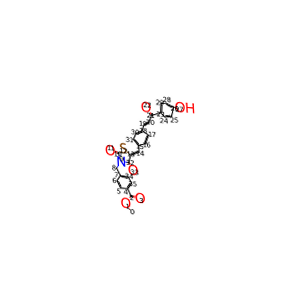 COC(=O)c1ccc(CN2C(=O)S/C(=C\c3ccc(/C=C/C(=O)c4ccc(O)cc4)cc3)C2=O)cc1